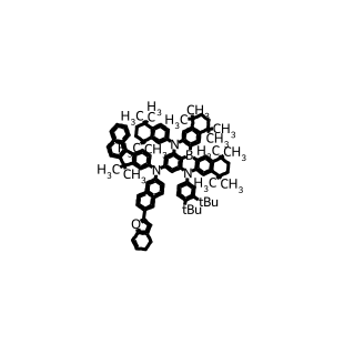 CC(C)(C)c1ccc(N2c3cc4c(cc3B3c5cc6c(cc5N(c5ccc7c(c5)C(C)(C)CCC7(C)C)c5cc(N(c7ccc8c(c7)C(C)(C)c7ccc9ccccc9c7-8)c7ccc8cc(-c9cc%10c(o9)C=CCC%10)ccc8c7)cc2c53)C(C)(C)CCC6(C)C)C(C)(C)CCC4(C)C)cc1C(C)(C)C